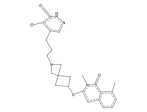 Cc1cccc2cc(OC3CC4(C3)CN(CCCc3cn[nH]c(=O)c3Cl)C4)n(C)c(=O)c12